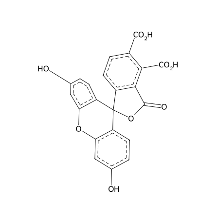 O=C(O)c1ccc2c(c1C(=O)O)C(=O)OC21c2ccc(O)cc2Oc2cc(O)ccc21